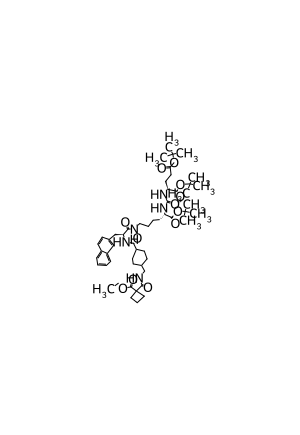 CCOC(=O)C1(C(=O)NCC2CCC(C(=O)N[C@@H](Cc3ccc4ccccc4c3)C(=O)NCCCC[C@H](NC(=O)N[C@@H](CCC(=O)OC(C)(C)C)C(=O)OC(C)(C)C)C(=O)OC(C)(C)C)CC2)CCC1